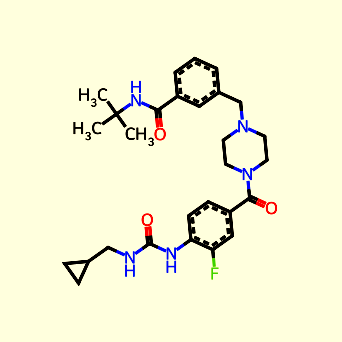 CC(C)(C)NC(=O)c1cccc(CN2CCN(C(=O)c3ccc(NC(=O)NCC4CC4)c(F)c3)CC2)c1